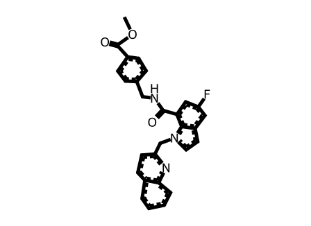 COC(=O)c1ccc(CNC(=O)c2cc(F)cc3ccn(Cc4ccc5ccccc5n4)c23)cc1